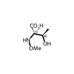 CON[C@H](C(=O)O)[C@@H](C)O